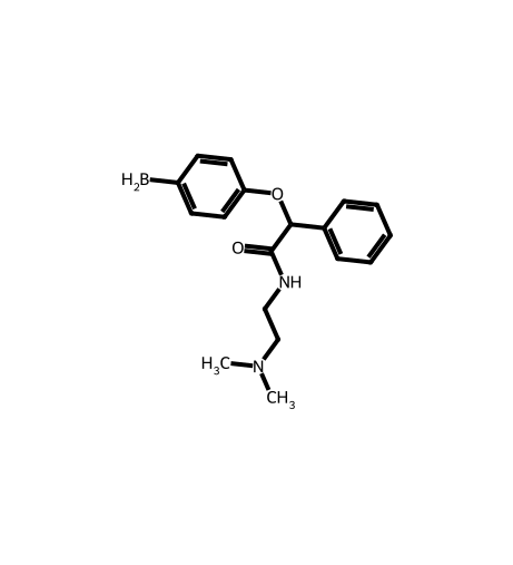 Bc1ccc(OC(C(=O)NCCN(C)C)c2ccccc2)cc1